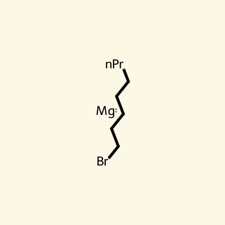 CCCCCCCCBr.[Mg]